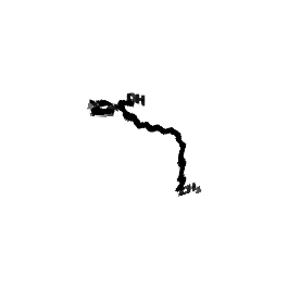 CCCCCCCC/C=C\CCCCCCCC(CCO)N1C=NCC1